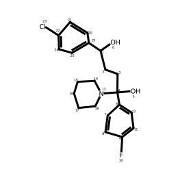 OC(CCC(O)(c1ccc(F)cc1)N1CCCCC1)c1ccc(Cl)cc1